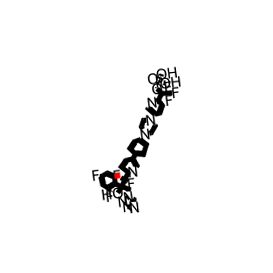 O=P(O)(O)OC(c1ccc(N2CCN(c3ccc(-c4ccc(C(F)(F)C(O)(Cn5cnnn5)c5ccc(F)cc5F)nc4)cc3)CC2)cn1)C(F)(F)F